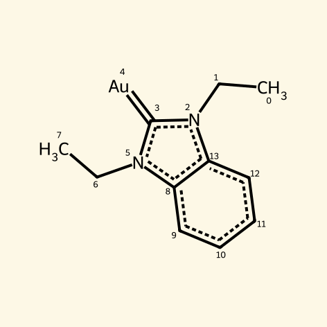 CCn1[c](=[Au])n(CC)c2ccccc21